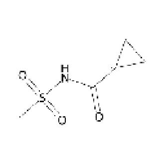 CS(=O)(=O)NC(=O)[C]1CC1